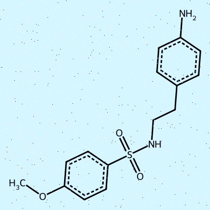 COc1ccc(S(=O)(=O)NCCc2ccc(N)cc2)cc1